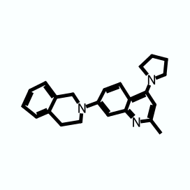 Cc1cc(N2CCCC2)c2ccc(N3CCc4ccccc4C3)cc2n1